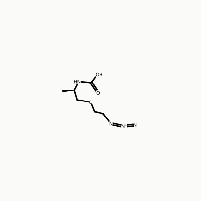 C[C@H](COCCN=[N+]=[N-])NC(=O)O